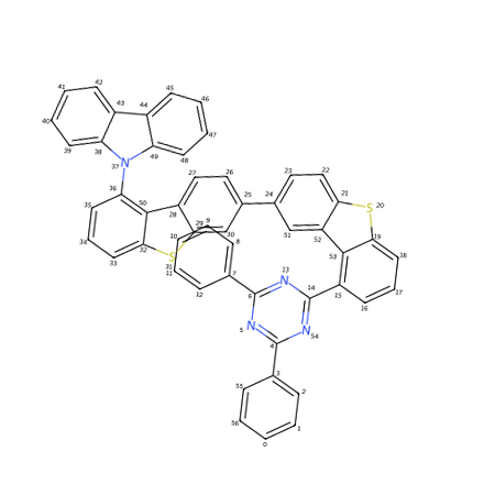 c1ccc(-c2nc(-c3ccccc3)nc(-c3cccc4sc5ccc(-c6ccc7c(c6)sc6cccc(-n8c9ccccc9c9ccccc98)c67)cc5c34)n2)cc1